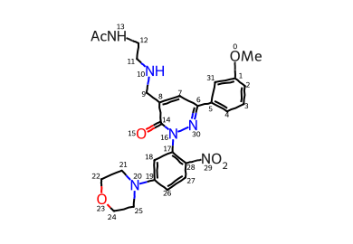 COc1cccc(-c2cc(CNCCNC(C)=O)c(=O)n(-c3cc(N4CCOCC4)ccc3[N+](=O)[O-])n2)c1